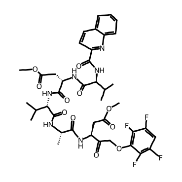 COC(=O)C[C@H](NC(=O)[C@H](C)NC(=O)[C@@H](NC(=O)[C@H](CC(=O)OC)NC(=O)[C@@H](NC(=O)c1ccc2ccccc2n1)C(C)C)C(C)C)C(=O)COc1c(F)c(F)cc(F)c1F